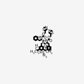 CC(C)(C)c1cc(CN(C[C@H](Cc2ccccc2)NC(=O)OCc2cncs2)C[C@H](Cc2ccccc2)NC(=O)OCc2cncs2)c(O)c(C(C)(C)C)c1